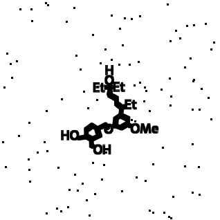 CCC(=CC=CC(O)(CC)CC)c1cc(OC)cc(OCc2ccc(CO)c(CO)c2)c1